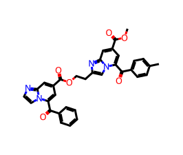 COC(=O)c1cc(C(=O)c2ccc(C)cc2)n2cc(CCOC(=O)c3cc(C(=O)c4ccccc4)n4ccnc4c3)nc2c1